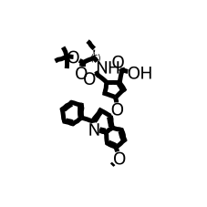 CC[C@H](NC(=O)C1CC(Oc2cc(-c3ccccc3)nc3cc(OC)ccc23)C=C1C(=O)O)C(=O)OC(C)(C)C